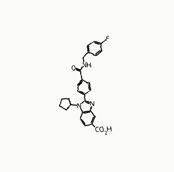 O=C(O)c1ccc2c(c1)nc(-c1ccc(C(=O)NCc3ccc(F)cc3)cc1)n2C1CCCC1